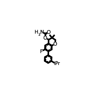 CC(C)c1cccc(-c2cc3c(cc2F)C(OC(N)=O)C(C)(C)CO3)c1